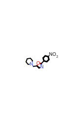 O=[N+]([O-])c1ccc(-c2ncc(CN3CCCCC3)o2)cc1